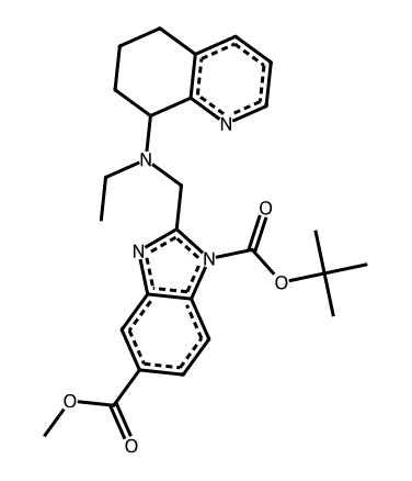 CCN(Cc1nc2cc(C(=O)OC)ccc2n1C(=O)OC(C)(C)C)C1CCCc2cccnc21